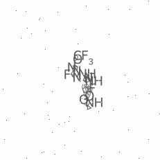 CC1(NC(=O)O[C@H]2CC[C@@H](c3cc(Nc4ncc(F)c5nc(COC(F)(F)F)cn45)n[nH]3)[C@H]2F)CC1